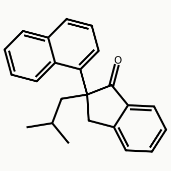 CC(C)CC1(c2cccc3ccccc23)Cc2ccccc2C1=O